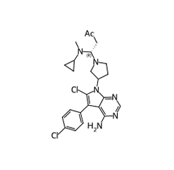 CC(=O)C[C@H](N1CCC(n2c(Cl)c(-c3ccc(Cl)cc3)c3c(N)ncnc32)C1)N(C)C1CC1